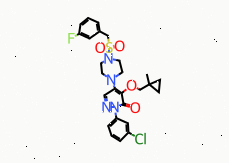 CC1(COc2c(N3CCN(S(=O)(=O)Cc4cccc(F)c4)CC3)cnn(-c3cccc(Cl)c3)c2=O)CC1